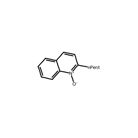 CCCCCc1ccc2ccccc2[n+]1[O-]